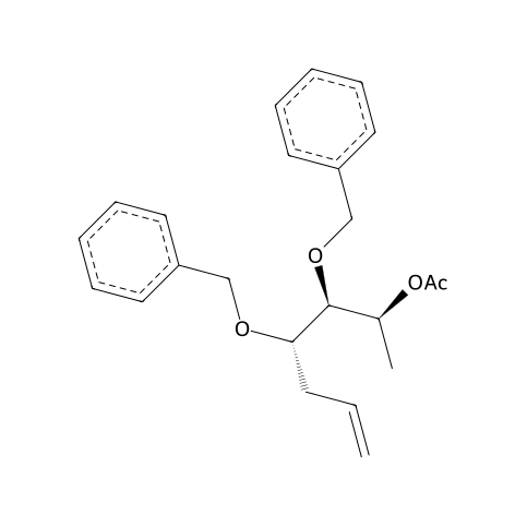 C=CC[C@H](OCc1ccccc1)[C@@H](OCc1ccccc1)[C@H](C)OC(C)=O